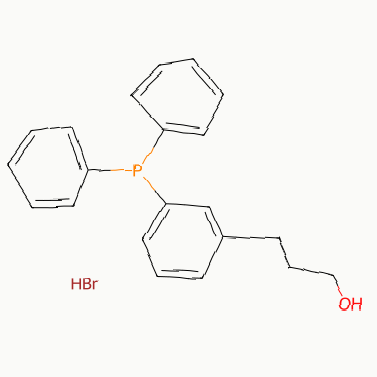 Br.OCCCc1cccc(P(c2ccccc2)c2ccccc2)c1